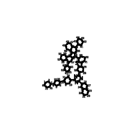 c1ccc(-c2ccc(-c3ccc(-c4nc(-c5ccc6ccccc6c5)nc(-c5ccc6c(c5)sc5c(-n7c8cc(-c9ccccc9)c9ccccc9c8c8c9ccccc9c(-c9ccccc9)cc87)cccc56)n4)cc3)cc2)cc1